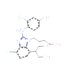 CCC(CC)c1ccc(Cl)c2nc(Nc3ccc(C)cc3Br)n(CCCCO)c12